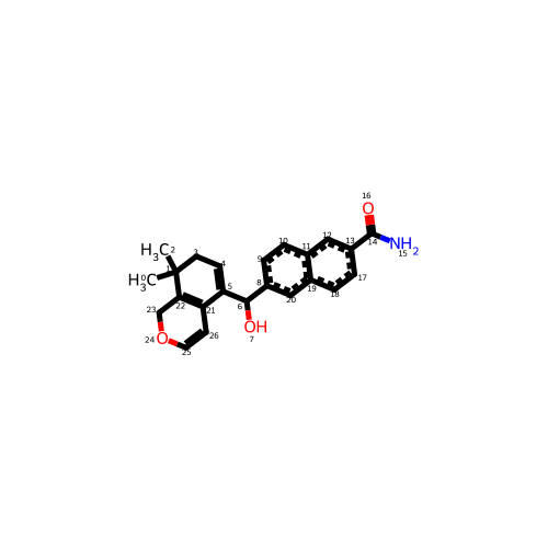 CC1(C)CC=C(C(O)c2ccc3cc(C(N)=O)ccc3c2)C2=C1COC=C2